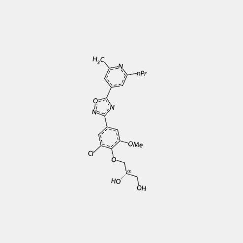 CCCc1cc(-c2nc(-c3cc(Cl)c(OC[C@@H](O)CO)c(OC)c3)no2)cc(C)n1